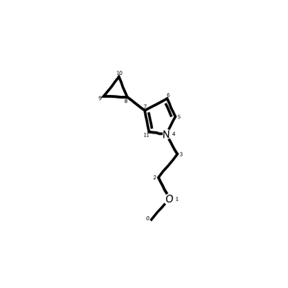 COCCn1ccc(C2CC2)c1